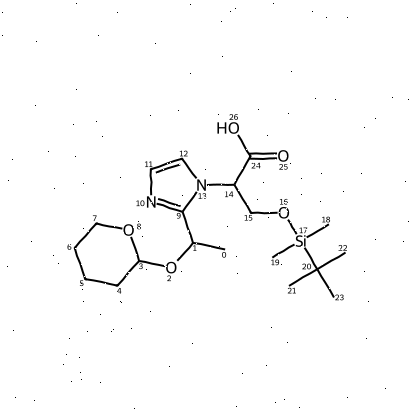 CC(OC1CCCCO1)c1nccn1C(CO[Si](C)(C)C(C)(C)C)C(=O)O